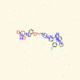 O=C1CCC(n2ccc3c(OCCCN4CCN(c5cccc(-c6cnc7ccc(N8CCC[C@@H]8c8cccc(F)c8)nn67)n5)CC4)cccc32)C(=O)N1